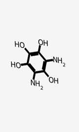 Nc1c(O)c(N)c(O)c(O)c1O